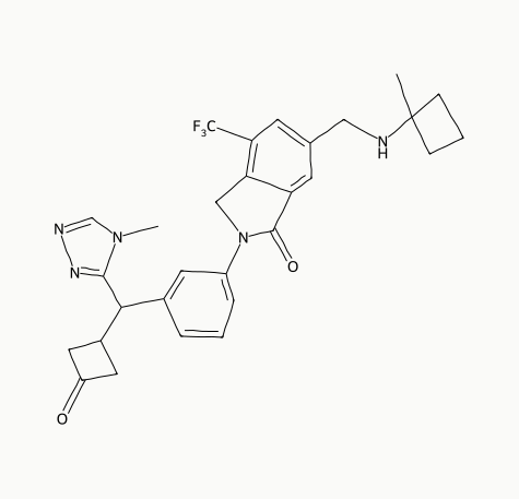 Cn1cnnc1C(c1cccc(N2Cc3c(cc(CNC4(C)CCC4)cc3C(F)(F)F)C2=O)c1)C1CC(=O)C1